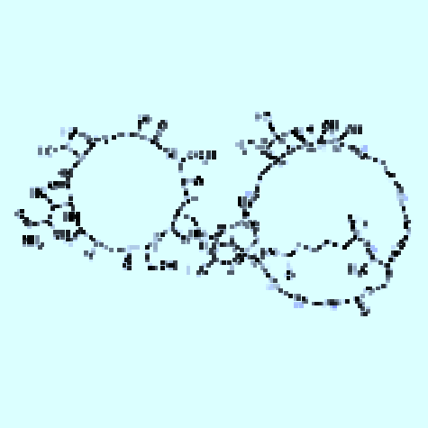 C/C(=C\[C@H](C)CCCCC(=O)NCCNC(C)C(=O)NCC1NC(=O)C(C(=O)O)NC(=O)C(O)CNC(=O)C(C(C)O)NC(=O)C(C(O)C(O)C(N)=O)NC(=O)C(C(C)C)CC(=O)C(CO)NC1=O)C1OC2C=CC1OC(=O)\C=C/C=C\C=C\[C@H]1OC3(C)CC1O[C@@H](/C=C/C[C@H]1O[C@H](C[C@H](O)[C@H]1C)[C@@H](O)[C@@H](O)/C=C/CC/C=C/C2)C3